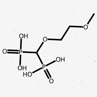 COCCOC(P(=O)(O)O)P(=O)(O)O